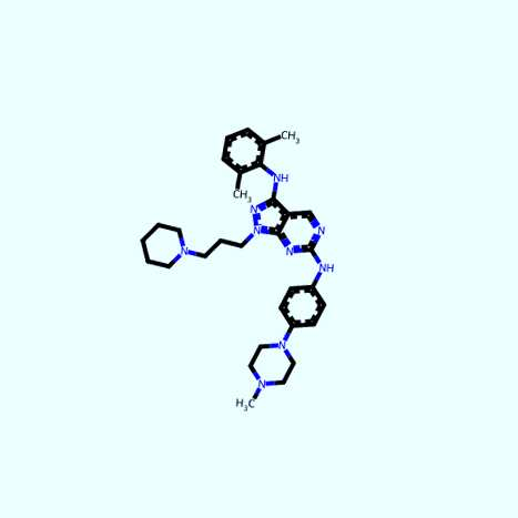 Cc1cccc(C)c1Nc1nn(CCCN2CCCCC2)c2nc(Nc3ccc(N4CCN(C)CC4)cc3)ncc12